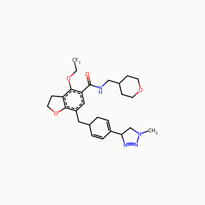 CN1CC(C2=CCC(Cc3cc(C(=O)NCC4CCOCC4)c(OCC(F)(F)F)c4c3OCC4)C=C2)N=N1